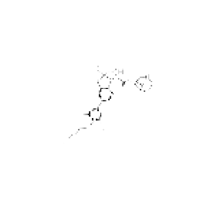 CCCCOc1c(C)cc(-c2ccc3c(c2)CC(CC)(CC)C3NC(=O)O[C@H]2CN3CCC2CC3)cc1C